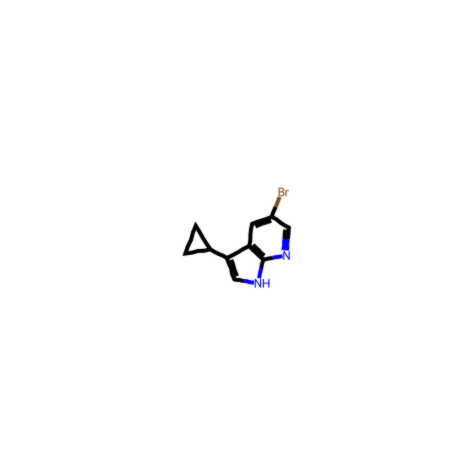 Brc1cnc2[nH]cc(C3CC3)c2c1